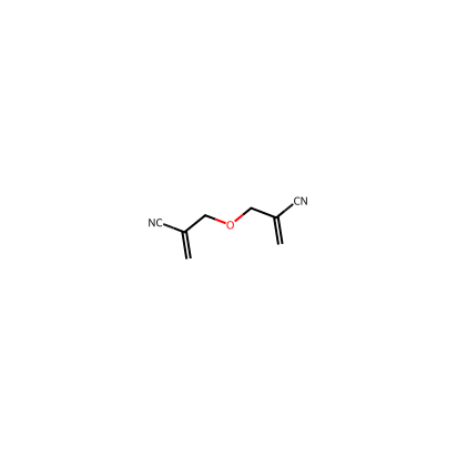 C=C(C#N)COCC(=C)C#N